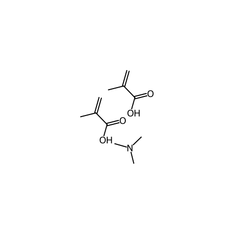 C=C(C)C(=O)O.C=C(C)C(=O)O.CN(C)C